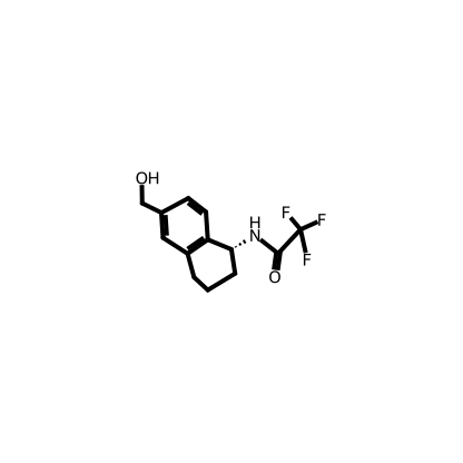 O=C(N[C@@H]1CCCc2cc(CO)ccc21)C(F)(F)F